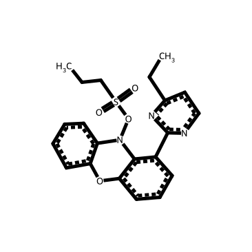 CCCS(=O)(=O)ON1c2ccccc2Oc2cccc(-c3nccc(CC)n3)c21